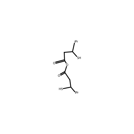 CC(C)C(S)CC(=O)OC(=O)CC(S)C(C)C